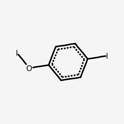 IOc1ccc(I)cc1